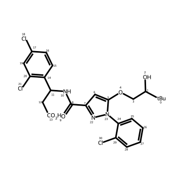 CC(C)(C)C(O)COc1cc(C(=O)NC(CC(=O)O)c2ccc(Cl)cc2Cl)nn1-c1ccccc1Cl